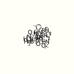 BC(B)(Nc1cccc(C)c1CN(C=O)C(C(=O)NC)C(B)(B)C(B)(B)C=O)c1cc(CN2CC(C)(C)OC(C)(C)C2)ccc1F